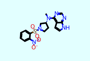 CN(c1ncnc2[nH]ccc12)[C@@H]1CCN(S(=O)(=O)c2ccccc2[N+](=O)[O-])C1